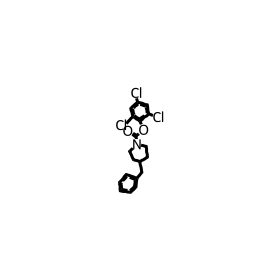 O=C(Oc1c(Cl)cc(Cl)cc1Cl)N1CCC(Cc2ccccc2)CC1